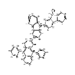 CCC1(C)c2ccccc2-c2ccc(-n3c4ccncc4c4cc(-c5ccc6c(-c7ccccc7)c7ccccc7c(-c7ccccc7)c6c5)ccc43)cc21